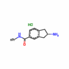 CCCNC(=O)c1ccc2c(c1)CC(N)C2.Cl